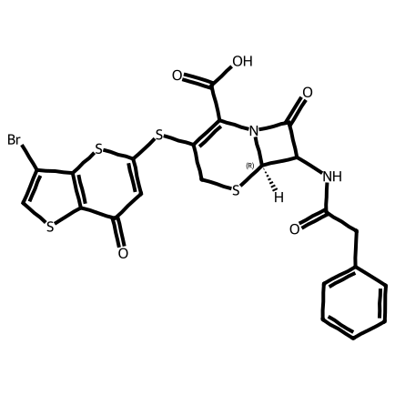 O=C(Cc1ccccc1)NC1C(=O)N2C(C(=O)O)=C(Sc3cc(=O)c4scc(Br)c4s3)CS[C@H]12